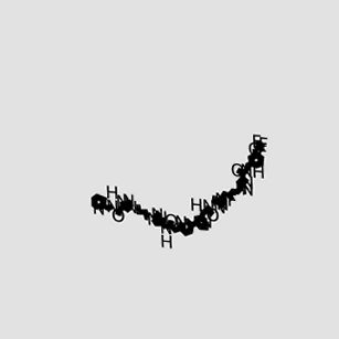 O=C(Cc1ccc(-c2ccnc(CC(=O)Nc3cn(CC(F)CCn4cc(C(=O)NCc5cccc(OC(F)(F)F)c5)nn4)nn3)c2)cn1)Nc1cn(CCCCn2cc(C(=O)NCc3ccccn3)nn2)nn1